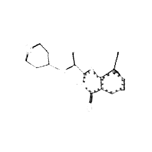 Cc1cccc2c(=O)[nH]c(C(C)SC3CCOCC3)nc12